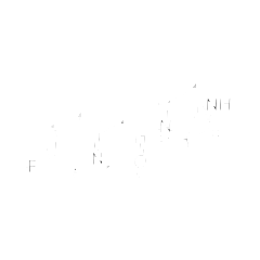 O=C(Cc1ccc(F)cn1)N1C2CNCC1C2